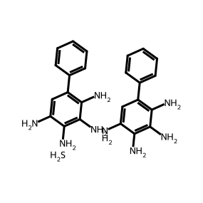 Nc1cc(-c2ccccc2)c(N)c(N)c1N.Nc1cc(-c2ccccc2)c(N)c(N)c1N.S